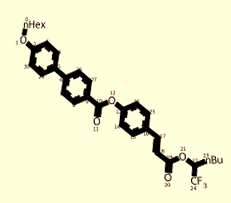 CCCCCCOc1ccc(-c2ccc(C(=O)Oc3ccc(C=CC(=O)OC(CCCC)C(F)(F)F)cc3)cc2)cc1